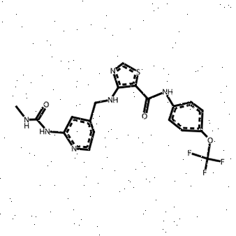 CNC(=O)Nc1cc(CNc2ncsc2C(=O)Nc2ccc(OC(F)(F)F)cc2)ccn1